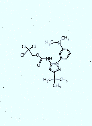 CN(C)c1cccc(-n2nc(C(C)(C)C)cc2NC(=O)OCC(Cl)(Cl)Cl)c1